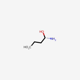 N[C@@H](O)CCC(=O)O